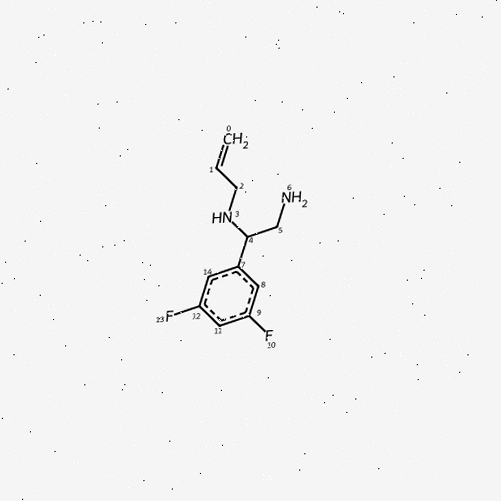 C=CCNC(CN)c1cc(F)cc(F)c1